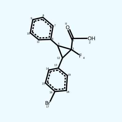 O=C(O)C1(F)C(c2ccccc2)C1c1ccc(Br)cc1